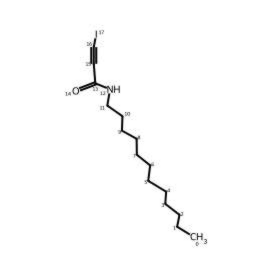 CCCCCCCCCCCCNC(=O)C#CI